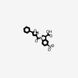 O=C(O)C1CN(C(=O)c2cc(-c3ccccc3)on2)c2ccc([N+](=O)[O-])cc21